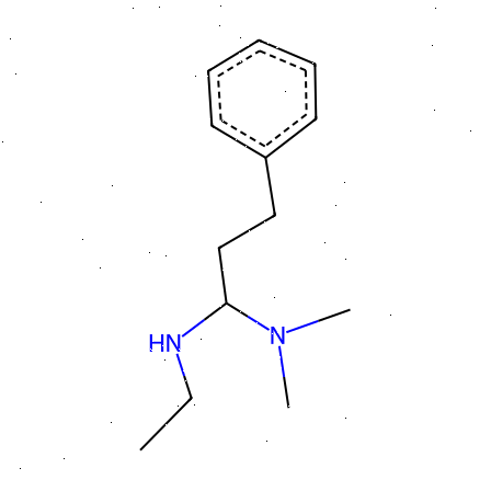 CCNC(CCc1ccccc1)N(C)C